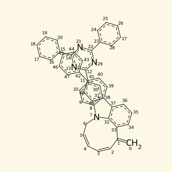 C=C1/C=C\C=C/CN(c2ccc(-c3nc(-c4ccccc4)nc(-c4ccccc4)n3)cc2)c2c1cccc2-c1ccc(-c2ccccc2)cc1